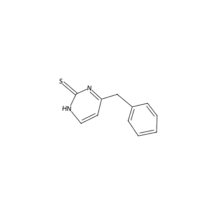 S=c1nc(Cc2ccccc2)cc[nH]1